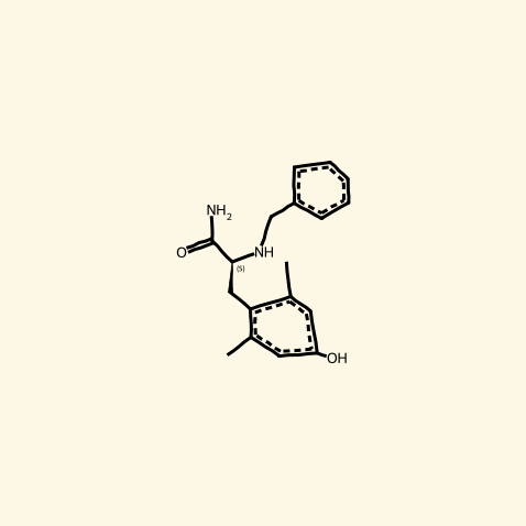 Cc1cc(O)cc(C)c1C[C@H](NCc1ccccc1)C(N)=O